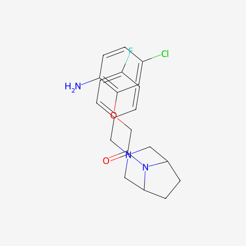 Nc1ccc(Cl)cc1OCC(=O)N1C2CCC1CN(Cc1ccc(F)cc1)C2